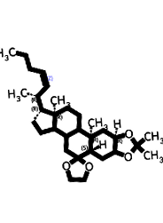 CCC/C=C\[C@@H](C)[C@H]1CCC2C3CC4(OCCO4)[C@H]4CC5OC(C)(C)O[C@@H]5C[C@]4(C)C3CC[C@@]21C